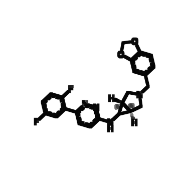 Fc1ccc(F)c(-c2ccc(NC3[C@@H]4CN(Cc5ccc6c(c5)OCO6)C[C@@H]34)nn2)c1